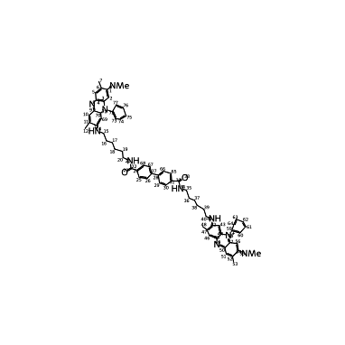 CNc1cc2c(cc1C)N=C1C=C(C)C(NCCCCCCNC(=O)c3ccc(-c4ccc(C(=O)NCCCCCCNc5cc6c(cc5C)nc5cc(C)c(NC)cc5[n+]6-c5ccccc5)cc4)cc3)=CC1N2c1ccccc1